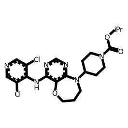 CC(C)OC(=O)N1CCC(N2CCCOc3c(Nc4c(Cl)cncc4Cl)ncnc32)CC1